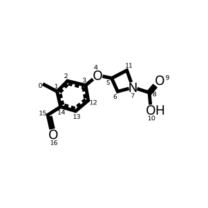 Cc1cc(OC2CN(C(=O)O)C2)ccc1C=O